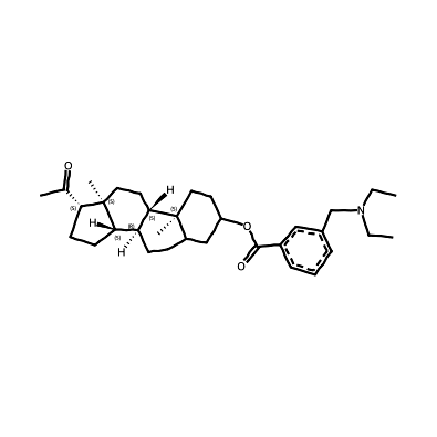 CCN(CC)Cc1cccc(C(=O)OC2CC[C@@]3(C)C(CC[C@H]4[C@@H]5CC[C@H](C(C)=O)[C@@]5(C)CC[C@@H]43)C2)c1